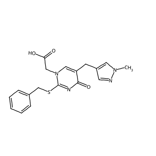 Cn1cc(Cc2cn(CC(=O)O)c(SCc3ccccc3)nc2=O)cn1